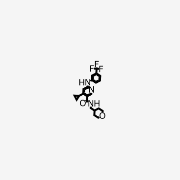 O=C(NCC1CCOCC1)c1cnc(Nc2cccc(C(F)(F)F)c2)cc1C1CC1